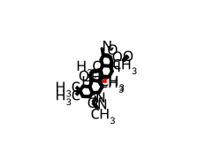 Cc1nnc([C@]23CCC(C)(C)C[C@H]2[C@H]2C(=O)C=C4[C@@]5(C)Cc6cnoc6[C@@](C)(OC=O)[C@@H]5CC[C@@]4(C)[C@]2(C)CC3)o1